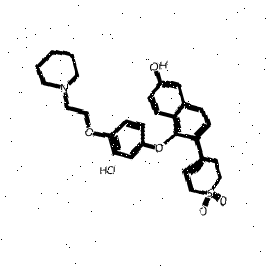 Cl.O=S1(=O)CC=C(c2ccc3cc(O)ccc3c2Oc2ccc(OCCN3CCCCC3)cc2)CC1